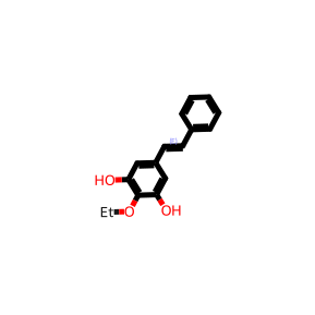 CCOc1c(O)cc(/C=C/c2ccccc2)cc1O